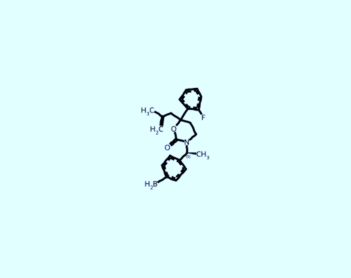 Bc1ccc([C@H](C)N2CCC(CC(=C)C)(c3ccccc3F)OC2=O)cc1